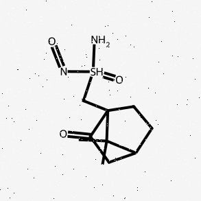 CC1(C)C2CCC1(C[SH](N)(=O)N=O)C(=O)C2